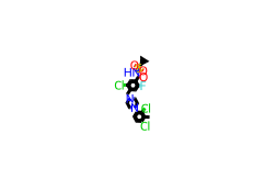 Cc1c(Cl)ccc(N2CCN(Cc3cc(F)c(C(=O)NS(=O)(=O)C4CC4)cc3Cl)CC2)c1Cl